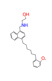 COc1ccccc1CCCCCCc1ccc(CNCCO)c2ccccc12